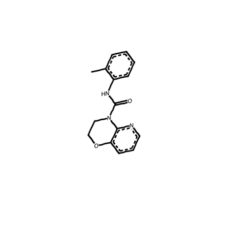 Cc1ccccc1NC(=O)N1CCOc2cccnc21